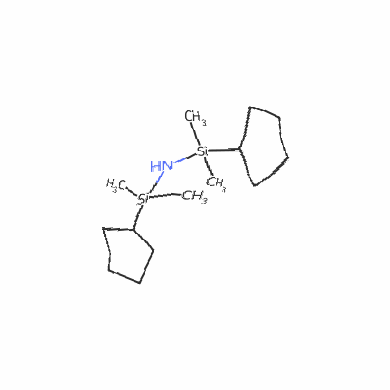 C[Si](C)(N[Si](C)(C)C1CCCC1)C1CCCC1